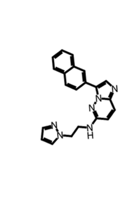 c1ccc2cc(-c3cnc4ccc(NCCn5cccn5)nn34)ccc2c1